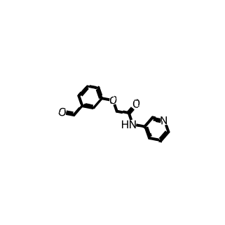 O=Cc1cccc(OCC(=O)Nc2cccnc2)c1